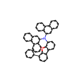 c1ccc(-c2cccc3c2oc2c(N(c4cc5ccccc5c5ccccc45)c4cc5ccccc5c5ccccc45)cccc23)cc1